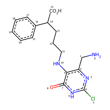 NCc1nc(Cl)[nH]c(=O)c1NCCCC(C(=O)O)c1ccccc1